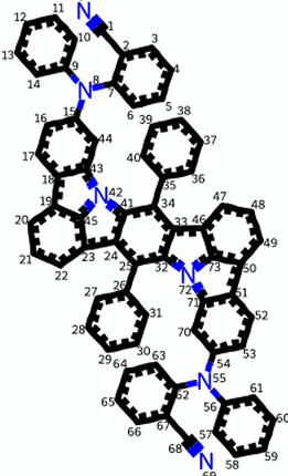 N#Cc1ccccc1N(c1ccccc1)c1ccc2c3cccc4c5c(-c6ccccc6)c6c(c(-c7ccccc7)c5n(c2c1)c34)c1cccc2c3ccc(N(c4ccccc4)c4ccccc4C#N)cc3n6c21